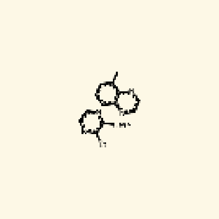 CCc1nccnc1OC.Cc1cccc2nccnc12